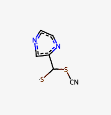 N#CSC([S])c1cnccn1